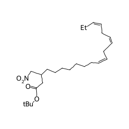 CC/C=C\C/C=C\C/C=C\CCCCCCCC(CC(=O)OC(C)(C)C)C[N+](=O)[O-]